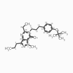 CCCc1nn(C)c2c(=O)n(CCCc3ccc(OC(C)(C)C)cc3)c(CC)nc12